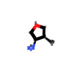 CC(C)[C@H]1COC[C@H]1N